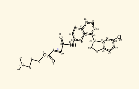 CN(C)CCCOC(=O)/C=C/C(=O)Nc1ccc2ncnc(N3CCc4ccc(Cl)cc43)c2c1